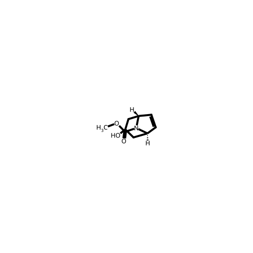 COC(=O)N1[C@H]2C=C[C@H]1CC(O)C2